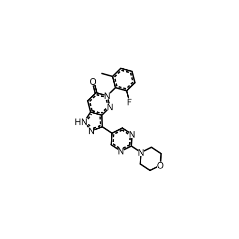 Cc1cccc(F)c1-n1nc2c(-c3cnc(N4CCOCC4)nc3)n[nH]c2cc1=O